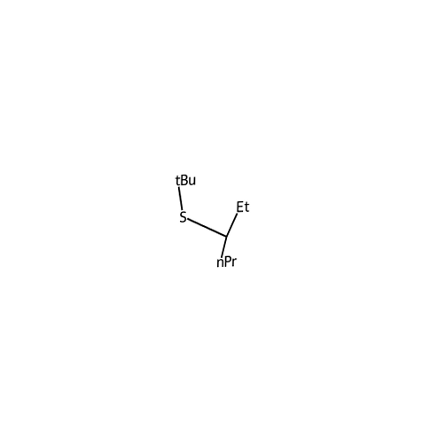 CCCC(CC)SC(C)(C)C